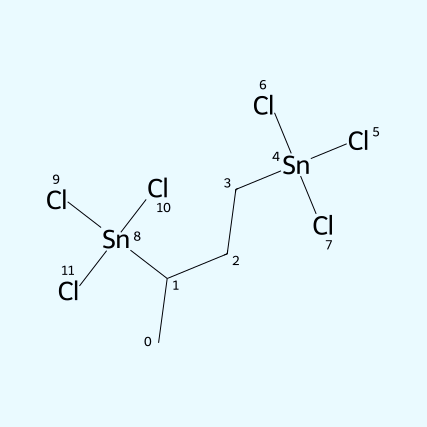 C[CH](C[CH2][Sn]([Cl])([Cl])[Cl])[Sn]([Cl])([Cl])[Cl]